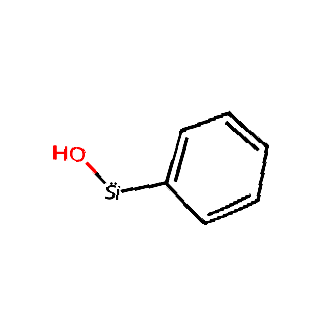 O[Si]c1ccccc1